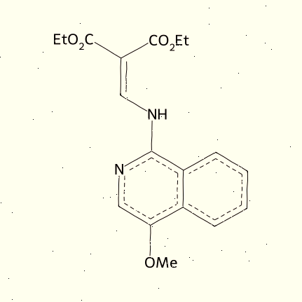 CCOC(=O)C(=CNc1ncc(OC)c2ccccc12)C(=O)OCC